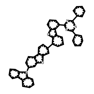 c1ccc(-c2nc(-c3ccccc3)nc(-c3cccc4sc5c(-c6ccc7c(c6)oc6cc(-n8c9ccccc9c9ccccc98)ccc67)cccc5c34)n2)cc1